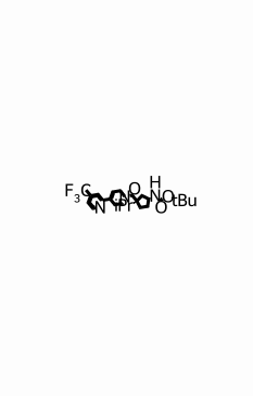 CC(C)[C@]1(C(=O)N2CC=C(c3cc(C(F)(F)F)ccn3)CC2)CC[C@@H](NC(=O)OC(C)(C)C)C1